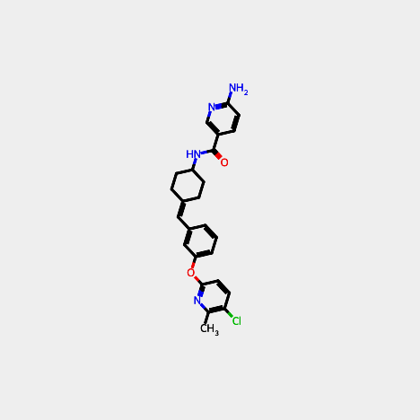 Cc1nc(Oc2cccc(C=C3CCC(NC(=O)c4ccc(N)nc4)CC3)c2)ccc1Cl